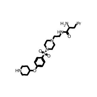 CC(C)C[C@H](N)C(=O)NCCN1CCN(S(=O)(=O)c2ccc(OC3CCNCC3)cc2)CC1